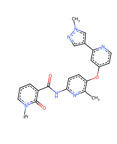 Cc1nc(NC(=O)c2cccn(C(C)C)c2=O)ccc1Oc1ccnc(-c2cnn(C)c2)c1